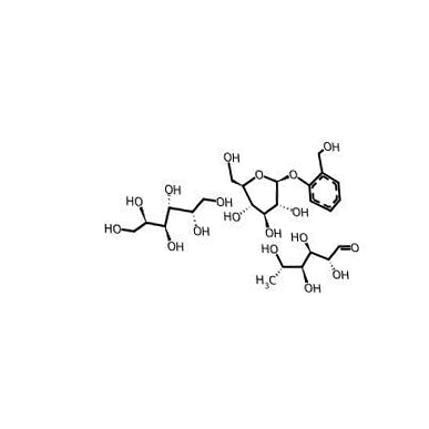 C[C@H](O)[C@H](O)[C@@H](O)[C@@H](O)C=O.OC[C@@H](O)[C@H](O)[C@H](O)[C@@H](O)CO.OCc1ccccc1O[C@@H]1O[C@H](CO)[C@@H](O)[C@H](O)[C@H]1O